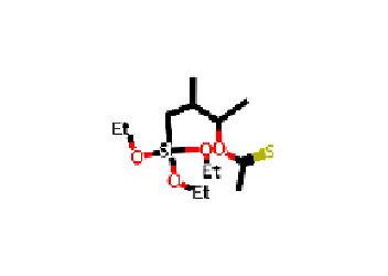 CCO[Si](CC(C)C(C)OC(C)=S)(OCC)OCC